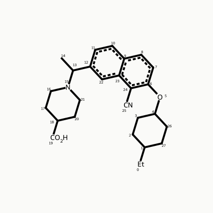 CCC1CCC(Oc2ccc3ccc(C(C)N4CCC(C(=O)O)CC4)cc3c2C#N)CC1